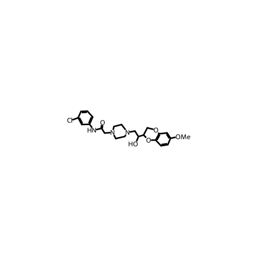 COc1ccc2c(c1)OCC(C(O)CN1CCN(CC(=O)Nc3cccc(Cl)c3)CC1)O2